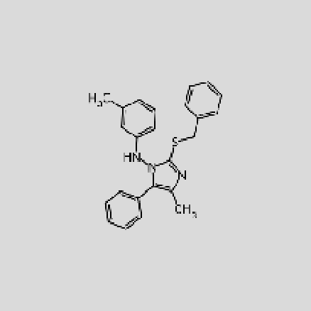 Cc1cccc(Nn2c(SCc3ccccc3)nc(C)c2-c2ccccc2)c1